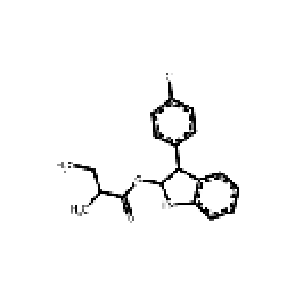 CCC(C)C(=O)OC1Nc2ccccc2C1c1ccc(Cl)cc1